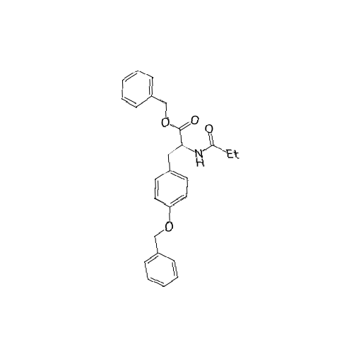 CCC(=O)NC(Cc1ccc(OCc2ccccc2)cc1)C(=O)OCc1ccccc1